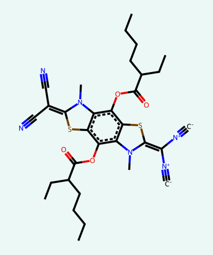 [C-]#[N+]C([N+]#[C-])=C1Sc2c(OC(=O)C(CC)CCCC)c3c(c(OC(=O)C(CC)CCCC)c2N1C)SC(=C(C#N)C#N)N3C